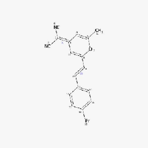 [C-]#[N+]/C(C#N)=C1\C=C(C)OC(/C=C/c2ccc(C(C)C)cc2)=C1